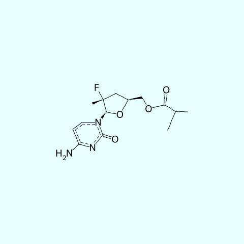 CC(C)C(=O)OC[C@@H]1C[C@@](C)(F)[C@H](n2ccc(N)nc2=O)O1